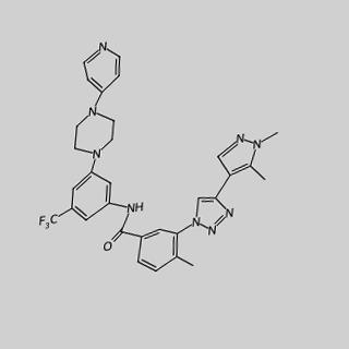 Cc1ccc(C(=O)Nc2cc(N3CCN(c4ccncc4)CC3)cc(C(F)(F)F)c2)cc1-n1cc(-c2cnn(C)c2C)nn1